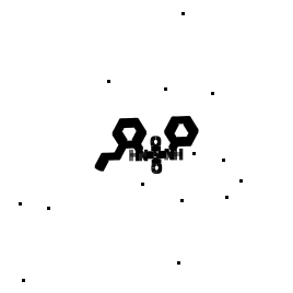 C=CCc1ccccc1NS(=O)(=O)Nc1ccccc1